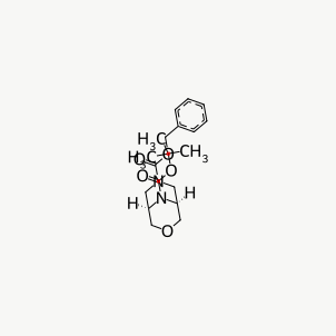 CC(C)(C)OC(=O)N1[C@@H]2COC[C@H]1CN(C(=O)OCc1ccccc1)C2